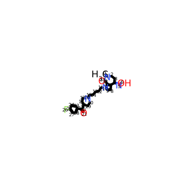 CN1CCC(=NO)c2ccn(CCCCCN3CCC(C(=O)c4ccc(F)cc4)CC3)c2C1=O